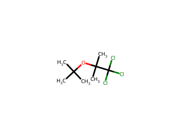 CC(C)(C)OC(C)(C)C(Cl)(Cl)Cl